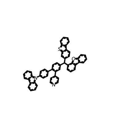 c1ccc2c(c1)oc1c(C(c3ccc(-c4ccc(-n5c6ccccc6c6ccccc65)cc4)c(-c4ccncc4)c3)c3ccc4c(c3)sc3ccccc34)cccc12